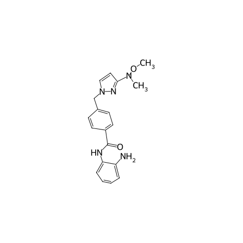 CON(C)c1ccn(Cc2ccc(C(=O)Nc3ccccc3N)cc2)n1